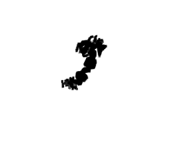 Clc1cncc(Cl)c1-c1noc(C2CC2)c1COC12CCC(C=Cc3ccc(Cc4nn[nH]n4)cc3)(CC1)CC2